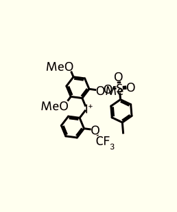 COc1cc(OC)c([I+]c2ccccc2OC(F)(F)F)c(OC)c1.Cc1ccc(S(=O)(=O)[O-])cc1